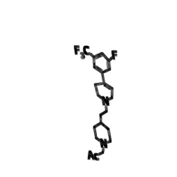 CC(=O)CN1CCC(CCN2CC=C(c3cc(F)cc(C(F)(F)F)c3)CC2)CC1